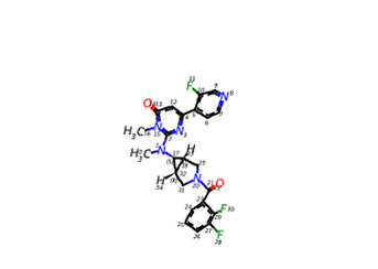 CN(c1nc(-c2ccncc2F)cc(=O)n1C)[C@H]1[C@@H]2CN(C(=O)c3cccc(F)c3F)C[C@@H]21